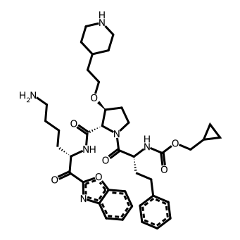 NCCCC[C@H](NC(=O)[C@@H]1[C@@H](OCCC2CCNCC2)CCN1C(=O)[C@@H](CCc1ccccc1)NC(=O)OCC1CC1)C(=O)c1nc2ccccc2o1